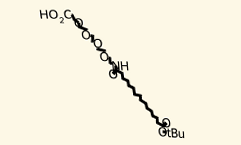 CC(C)(C)OC(=O)CCCCCCCCCCCCCCC(=O)NCCOCCOCCOCCOCCC(=O)O